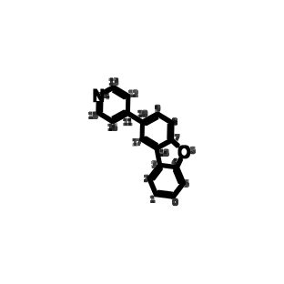 c1ccc2c(c1)oc1ccc(-c3ccncc3)cc12